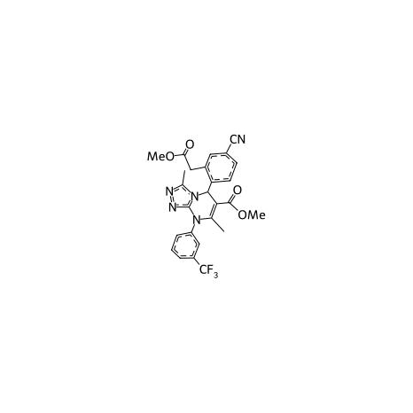 COC(=O)Cc1cc(C#N)ccc1C1C(C(=O)OC)=C(C)N(c2cccc(C(F)(F)F)c2)c2nnc(C)n21